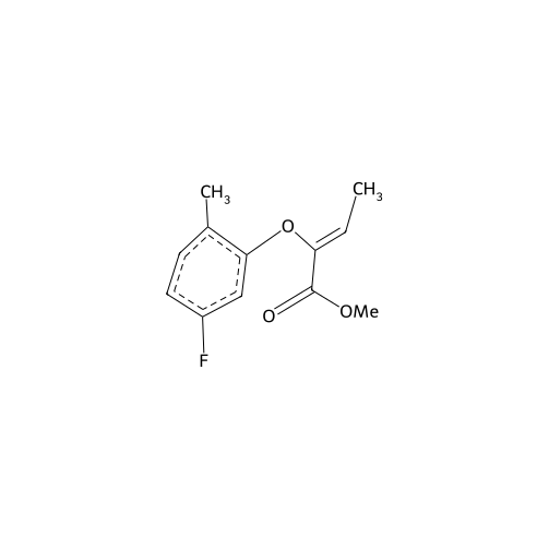 C/C=C(\Oc1cc(F)ccc1C)C(=O)OC